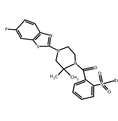 CCS(=O)(=O)c1ccccc1C(=O)N1CCN(c2nc3ccc(F)cc3s2)CC1(C)C